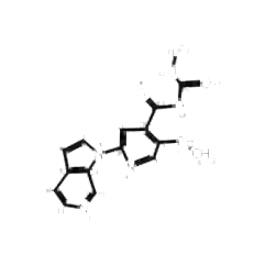 CBc1cnc(-n2ccc3ccncc32)cc1C(=O)OC(=O)OC(C)C